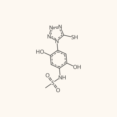 CS(=O)(=O)Nc1cc(O)c(-n2nnnc2S)cc1O